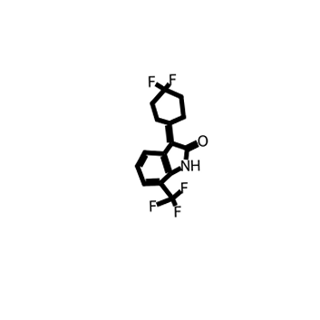 O=C1Nc2c(cccc2C(F)(F)F)C1=C1CCC(F)(F)CC1